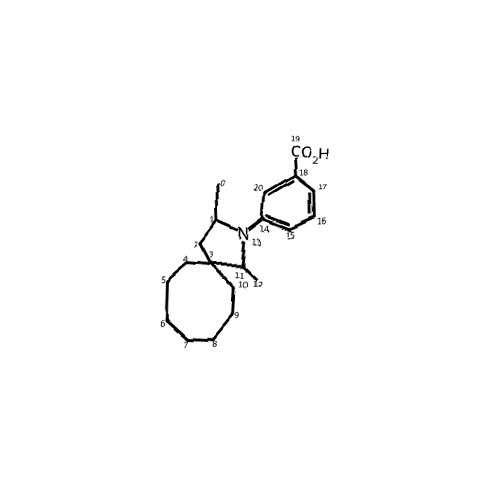 CC1CC2(CCCCCCC2)C(C)N1c1cccc(C(=O)O)c1